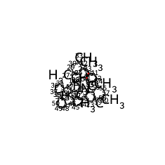 Cc1ccc2c(c1N(c1ccccc1)c1cc3c(cc1-c1cccc4c1C(C)(C)CCC4(C)C)-c1ccccc1C31c3ccccc3-c3ccccc31)C(C)(C)CCC2(C)C